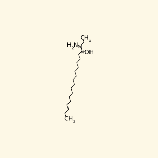 CCCCCCCCCCCCCCCC[C@@H](O)[C@@H](N)CC